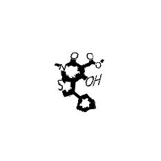 COC(=O)c1c(O)c2c(-c3ccccc3)csc2n(C)c1=O